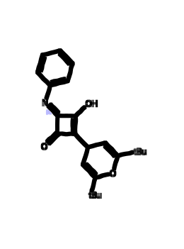 CC(C)(C)C1=CC(c2c(O)/c(=N\c3ccccc3)c2=O)C=C(C(C)(C)C)O1